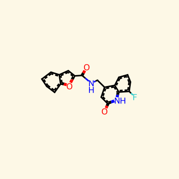 O=C(NCc1cc(=O)[nH]c2c(F)cccc12)c1cc2ccccc2o1